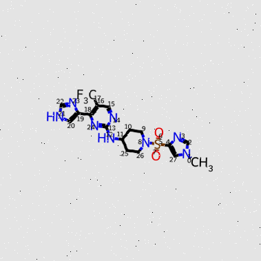 Cn1cnc(S(=O)(=O)N2CCC(Nc3ncc(C(F)(F)F)c(-c4c[nH]cn4)n3)CC2)c1